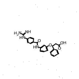 N=C(N)Nc1ccc(C(=O)Nc2cccc(OC(CC(=O)O)c3ccccc3)c2)cc1